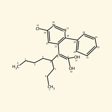 CCCCC(CCC)S(=C(O)O)c1cc(Cl)nnc1-c1ccccc1